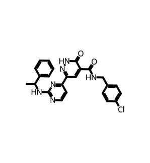 CC(Nc1nccc(-c2cc(C(=O)NCc3ccc(Cl)cc3)c(=O)[nH]n2)n1)c1ccccc1